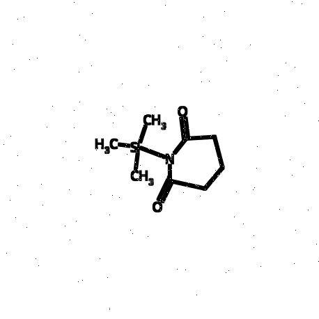 C[Si](C)(C)N1C(=O)CCCC1=O